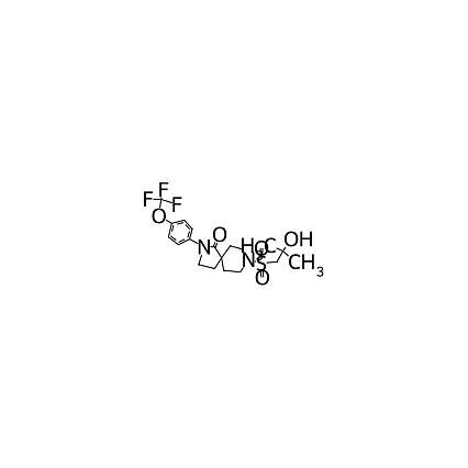 CC(C)(O)CS(=O)(=O)N1CCC2(CCN(c3ccc(OC(F)(F)F)cc3)C2=O)CC1